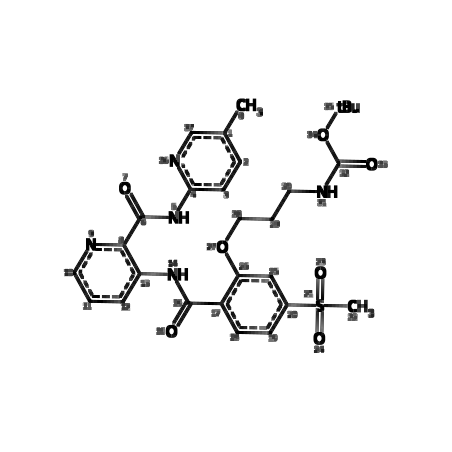 Cc1ccc(NC(=O)c2ncccc2NC(=O)c2ccc(S(C)(=O)=O)cc2OCCCNC(=O)OC(C)(C)C)nc1